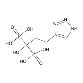 O=P(O)(O)C(O)(CCc1c[nH]nn1)P(=O)(O)O